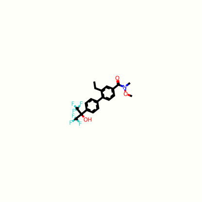 CCc1cc(C(=O)N(C)OC)ccc1-c1ccc(C(O)(C(F)(F)F)C(F)(F)F)cc1